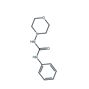 O=C(Nc1cc[c]cc1)NN1CCOCC1